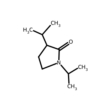 CC(C)C1CCN(C(C)C)C1=O